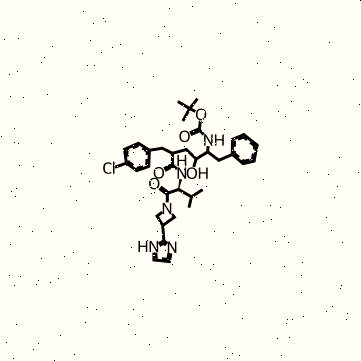 CC(C)[C@H](NC(=O)C(Cc1ccc(Cl)cc1)CC(O)C(Cc1ccccc1)NC(=O)OC(C)(C)C)C(=O)N1CC(c2ncc[nH]2)C1